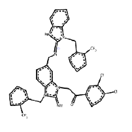 N=c1n(CC(=O)c2ccc(Cl)c(Cl)c2)c2cc(C/N=c3\[nH]c4ccccc4n3Cc3ccccc3C(F)(F)F)ccc2n1Cc1ccccc1C(F)(F)F